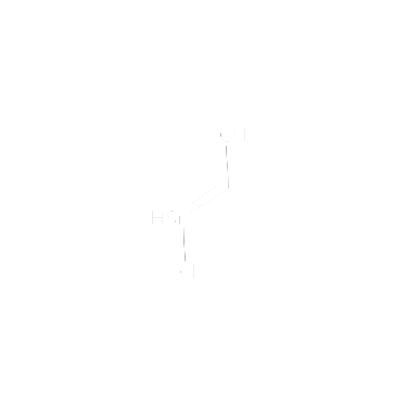 C[CH]=[SnH][Cl]